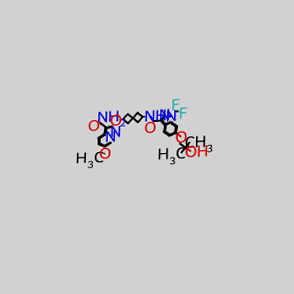 COc1ccc2c(C(N)=O)c(O[C@H]3CC4(C[C@H](NC(=O)c5nn(C(F)F)c6cc(OCC(C)(C)O)ccc56)C4)C3)nn2c1